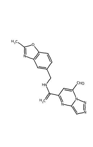 C=C(NCc1ccc2oc(C)nc2c1)c1cc(C=O)n2nncc2n1